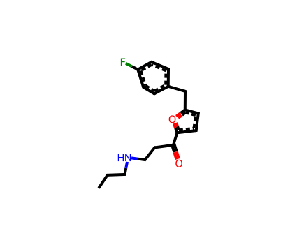 CCCNCCC(=O)c1ccc(Cc2ccc(F)cc2)o1